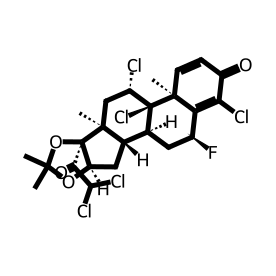 CC1(C)O[C@@H]2C[C@H]3[C@@H]4C[C@H](F)C5=C(Cl)C(=O)C=C[C@]5(C)[C@@]4(Cl)[C@@H](Cl)C[C@]3(C)[C@]2(C(=O)C(Cl)Cl)O1